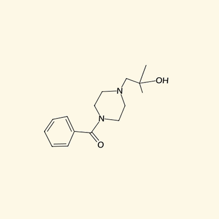 CC(C)(O)CN1CCN(C(=O)c2ccccc2)CC1